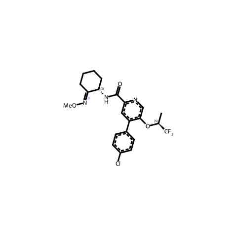 CO/N=C1\CCCC[C@@H]1NC(=O)c1cc(-c2ccc(Cl)cc2)c(O[C@@H](C)C(F)(F)F)cn1